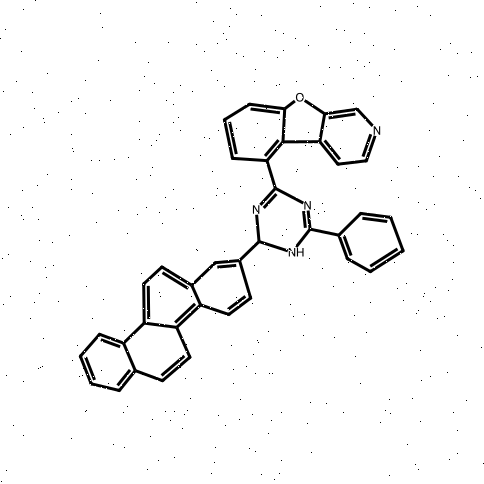 c1ccc(C2=NC(c3cccc4oc5cnccc5c34)=NC(c3ccc4c(ccc5c6ccccc6ccc45)c3)N2)cc1